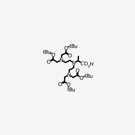 CC(C(=O)O)N(CCN(CC(=O)OC(C)(C)C)CC(=O)OC(C)(C)C)CCN(CC(=O)OC(C)(C)C)CC(=O)OC(C)(C)C